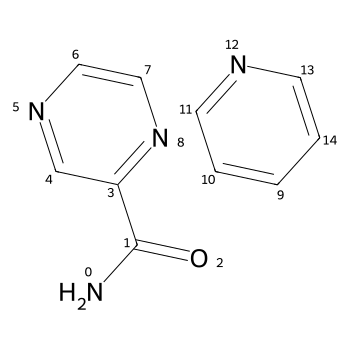 NC(=O)c1cnccn1.c1ccncc1